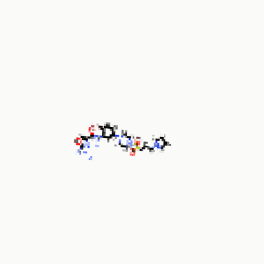 Nc1nc(C(=O)Nc2cc(N3CCN(S(=O)(=O)CCCN4CCCC4)CC3)ccc2Br)co1